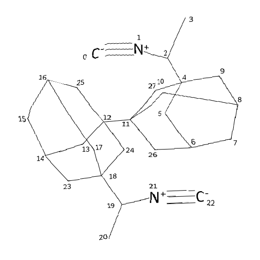 [C-]#[N+]C(C)C12CC3CC(C1)CC(C14CC5CC(CC(C(C)[N+]#[C-])(C5)C1)C4)(C3)C2